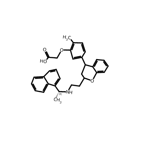 Cc1ccc(C2CC(CCN[C@H](C)c3cccc4ccccc34)Oc3ccccc32)cc1OCC(=O)O